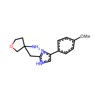 COc1ccc(-c2c[nH]c(CC3(N)CCOC3)n2)cc1